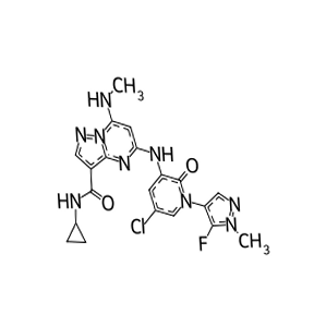 CNc1cc(Nc2cc(Cl)cn(-c3cnn(C)c3F)c2=O)nc2c(C(=O)NC3CC3)cnn12